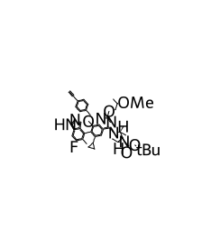 C#Cc1ccc(COc2c(-c3c(C)c(F)cc4[nH]ncc34)c(C3CC3)cc3c(N4C[C@@H]5C[C@H]4CN5C(=O)OC(C)(C)C)nc(OC[C@H](C)OC)nc23)cc1